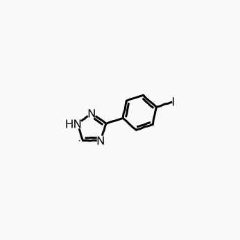 Ic1ccc(-c2n[c][nH]n2)cc1